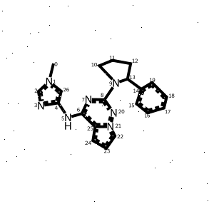 Cn1cnc(Nc2nc(N3CCCC3c3ccccc3)nn3cccc23)c1